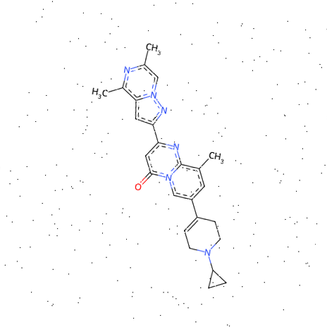 Cc1cn2nc(-c3cc(=O)n4cc(C5=CCN(C6CC6)CC5)cc(C)c4n3)cc2c(C)n1